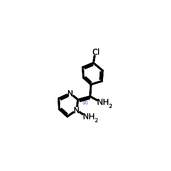 N/C(=C1/N=CC=CN1N)c1ccc(Cl)cc1